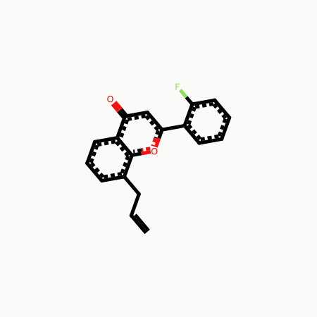 C=CCc1cccc2c(=O)cc(-c3ccccc3F)oc12